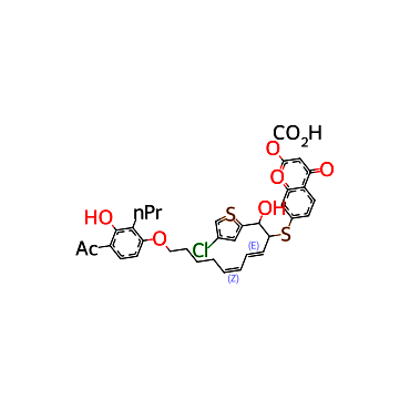 CCCc1c(OCCCC/C=C\C=C\C(Sc2ccc3c(=O)cc(OC(=O)O)oc3c2)C(O)c2cc(Cl)cs2)ccc(C(C)=O)c1O